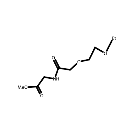 CCOCCOCC(=O)NCC(=O)OC